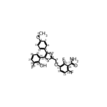 COc1ccc(-c2nc(COc3ccc(F)c(C(N)=O)c3F)sc2-c2cccc(F)c2O)cc1